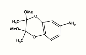 COC1(C)Oc2ccc(N)cc2OC1(C)OC